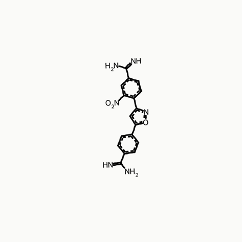 N=C(N)c1ccc(-c2cc(-c3ccc(C(=N)N)cc3[N+](=O)[O-])no2)cc1